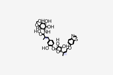 C/C(=C/COc1ccc2ncsc2c1)[C@H]1O[C@@H](Oc2ccc(/C=C(\C)C(=O)N[C@@H]3[C@H](O)[C@@H](O)[C@H]4OCO[C@H]4[C@@H]3O)cc2O)[C@@H](O)[C@@H]1O